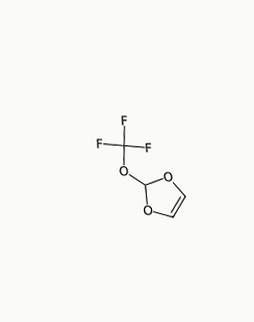 FC(F)(F)OC1OC=CO1